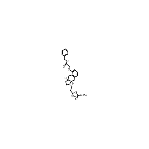 CCCCC[C@@H](CC[C@H]1CC[C@@H]2Cc3c(cccc3OCC(=O)OCc3ccccc3)C[C@H]12)OC(=O)NC